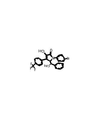 O=C1C(O)=C(c2ccc(C(F)(F)F)cc2)C([C@H](O)c2ccccc2)N1c1ccc(Br)cc1